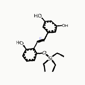 CC[Si](CC)(CC)Oc1cccc(O)c1/C=C/c1cc(O)cc(O)c1